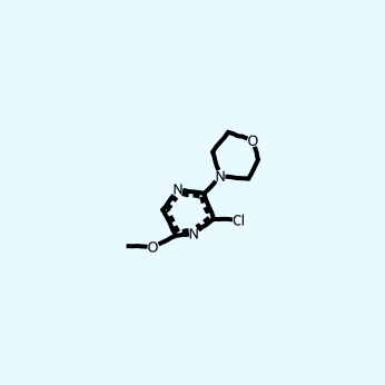 COc1cnc(N2CCOCC2)c(Cl)n1